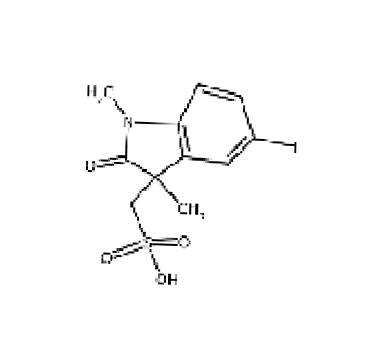 CN1C(=O)C(C)(CS(=O)(=O)O)c2cc(I)ccc21